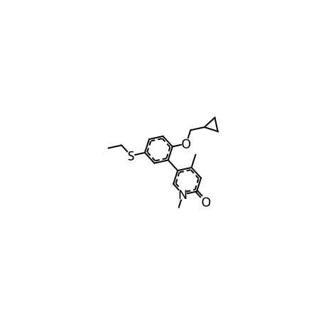 CCSc1ccc(OCC2CC2)c(-c2cn(C)c(=O)cc2C)c1